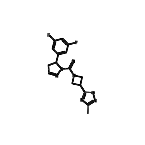 Cc1noc(C2CN(C(=O)N3N=CCC3c3cc(F)cc(F)c3)C2)n1